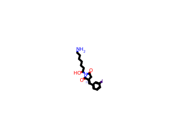 NCCCCCCC(O)N1C(=O)C/C(=C\c2cccc(I)c2)C1=O